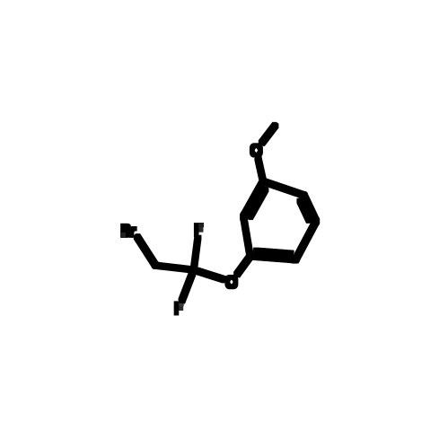 COc1cccc(OC(F)(F)CBr)c1